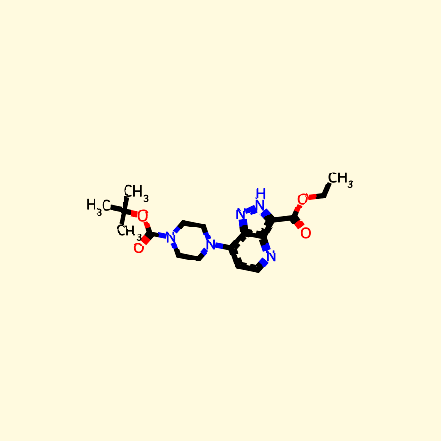 CCOC(=O)c1[nH]nc2c(N3CCN(C(=O)OC(C)(C)C)CC3)ccnc12